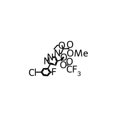 COC(=O)C1CN(c2nnc(-c3cc(Cl)ccc3F)cc2C(=O)OC(=O)C(F)(F)F)CCO1